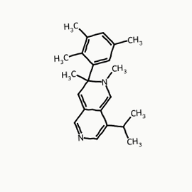 Cc1cc(C)c(C)c(C2(C)C=c3cncc(C(C)C)c3=CN2C)c1